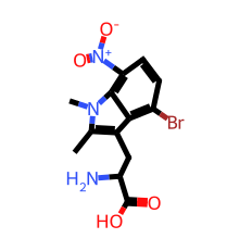 Cc1c(CC(N)C(=O)O)c2c(Br)ccc([N+](=O)[O-])c2n1C